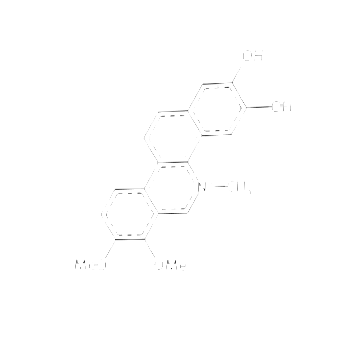 COc1ccc2c(c[n+](C)c3c4cc(O)c(O)cc4ccc23)c1OC